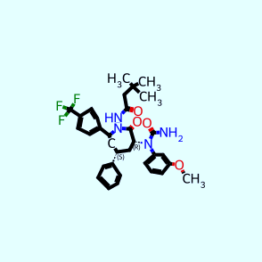 COc1cccc(N(C(N)=O)[C@@H]2C[C@H](c3ccccc3)CC(c3ccc(C(F)(F)F)cc3)N(NC(=O)CC(C)(C)C)C2=O)c1